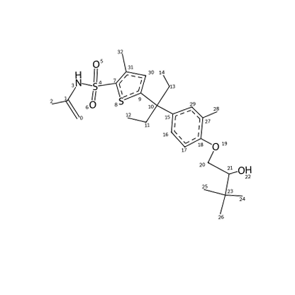 C=C(C)NS(=O)(=O)c1sc(C(CC)(CC)c2ccc(OCC(O)C(C)(C)C)c(C)c2)cc1C